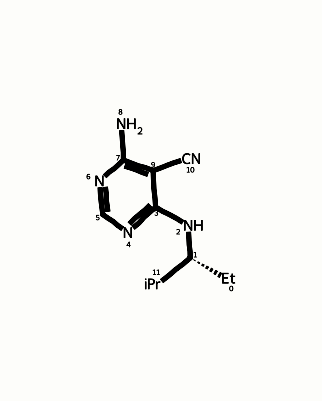 CC[C@@H](Nc1ncnc(N)c1C#N)C(C)C